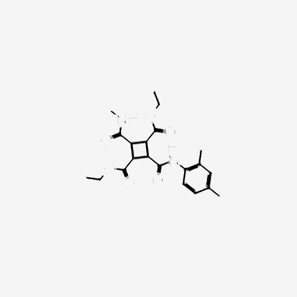 CCOC(=O)C1C(C(=O)NC)C(C(=O)OCC)C1C(=O)Nc1ccc(C)cc1C